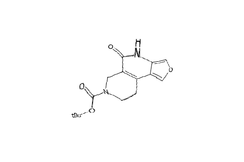 CC(C)(C)OC(=O)N1CCc2c(c(=O)[nH]c3cocc23)C1